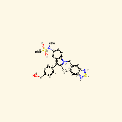 CCCCN(c1ccc2c(c1)c(-c1ccc(CO)cc1)c(C(=O)O)n2Cc1ccc2nsnc2c1)S(=O)(=O)CCCC